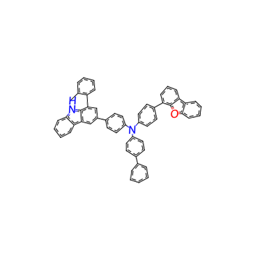 Cc1ccccc1-c1cc(-c2ccc(N(c3ccc(-c4ccccc4)cc3)c3ccc(-c4cccc5c4oc4ccccc45)cc3)cc2)cc2c1[nH]c1ccccc12